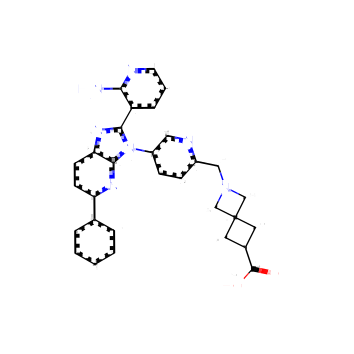 Nc1ncccc1-c1nc2ccc(-c3ccccc3)nc2n1-c1ccc(CN2CC3(CC(C(=O)O)C3)C2)nc1